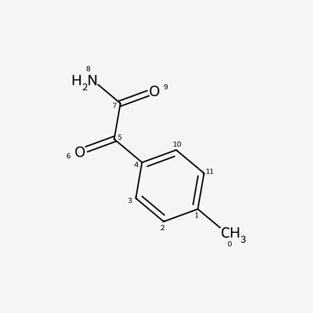 Cc1ccc(C(=O)C(N)=O)cc1